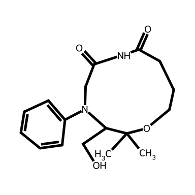 CC1(C)OCCCC(=O)NC(=O)CN(c2ccccc2)C1CO